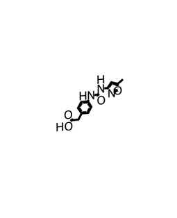 Cc1cc(NC(=O)Nc2ccc(CC(=O)O)cc2)no1